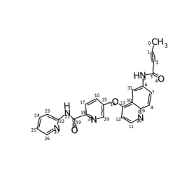 CC#CC(=O)Nc1ccc2nccc(Oc3ccc(C(=O)Nc4ccccn4)nc3)c2c1